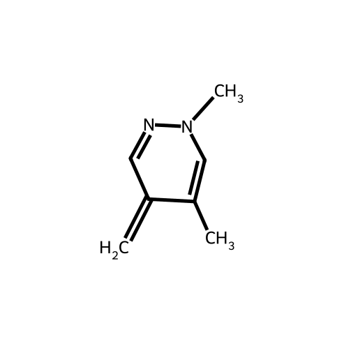 C=C1C=NN(C)C=C1C